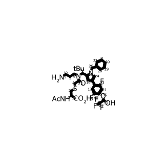 CC(=O)N[C@@H](CSCC(=O)N(CCCN)[C@@H](c1cc(-c2cc(F)ccc2F)cn1Cc1ccccc1)C(C)(C)C)C(=O)O.O=C(O)C(F)(F)F